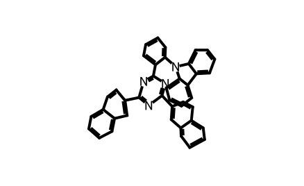 c1ccc(-n2c3ccccc3c3ccccc32)c(-c2nc(-c3ccc4ccccc4c3)nc(-c3ccc4ccccc4c3)n2)c1